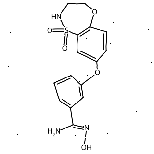 NC(=NO)c1cccc(Oc2ccc3c(c2)S(=O)(=O)NCCO3)c1